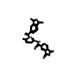 C=C(/C=C\C(=C)NC(=O)C1C=C2C(=O)OC(=O)C2=CC1)NC(=O)c1ccc2c(c1)C(=O)OC2=O